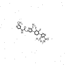 Cc1nn(CC(=O)Nc2cnn(C)c2)cc1-c1ccc(-c2cnc(C(N)=O)n2C)c(F)c1F